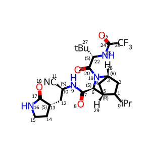 CC(C)C1C[C@@H]2C[C@H]1[C@@H](C(=O)N[C@H](C#N)C[C@@H]1CCNC1=O)N2C(=O)[C@@H](NC(=O)C(F)(F)F)C(C)(C)C